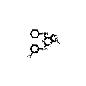 Cn1ncc2c(NC3CCCCC3)nc(Nc3cccc(Cl)c3)nc21